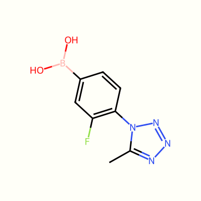 Cc1nnnn1-c1ccc(B(O)O)cc1F